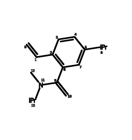 C=Cc1ccc(C(C)C)cc1C(=C)N(C)C(C)C